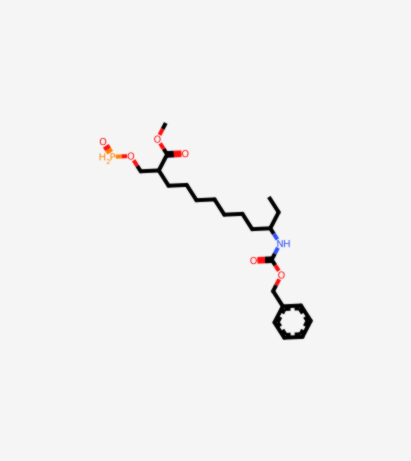 CCC(CCCCCCCC(CO[PH2]=O)C(=O)OC)NC(=O)OCc1ccccc1